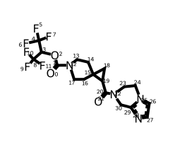 O=C(OC(C(F)(F)F)C(F)(F)F)N1CCC2(CC1)CC2C(=O)N1CCn2ccnc2C1